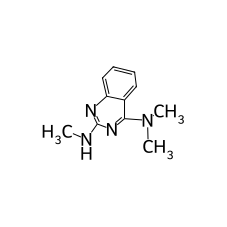 CNc1nc(N(C)C)c2ccccc2n1